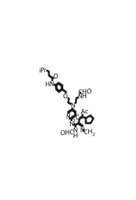 C=N/C=C(C(=N/c1ccc(N(CCNC=O)CCOCc2ccc(NC(=O)CCC(C)C)cc2)cn1)\NC=O)/C(C)=C(/C(C)=O)C1CCCC1